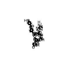 Nc1ncnc2c1ncn2[C@@H]1O[C@@H]2COP(=O)(O)O[C@H]3[C@@H](F)[C@H](n4ccc(=O)[nH]c4=O)O[C@@H]3CO[P@](=O)(SCc3ccc(OC(=O)c4ccc(O)cc4)cc3)O[C@@H]1[C@@H]2F